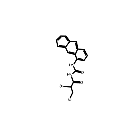 O=C(NC(=O)C(Br)CBr)Nc1cccc2cc3ccccc3cc12